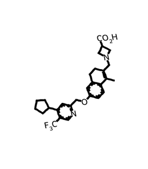 CC1=C(CN2CC(C(=O)O)C2)CCc2cc(OCc3cc(C4CCCC4)c(C(F)(F)F)cn3)ccc21